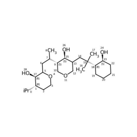 CC(C)[C@H]1CCOC(CC(C)[C@H]2COCC(CC(C)(C)[C@H]3CCCC[C@@H]3O)[C@@H]2O)[C@@H]1O